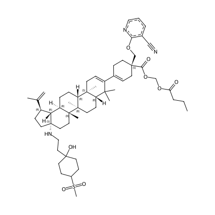 C=C(C)[C@@H]1CC[C@]2(NCCC3(O)CCC(S(C)(=O)=O)CC3)CC[C@]3(C)[C@H](CC[C@@H]4[C@@]5(C)CC=C(C6=CC[C@@](COc7ncccc7C#N)(C(=O)OCOC(=O)CCC)CC6)C(C)(C)[C@@H]5CC[C@]43C)[C@@H]12